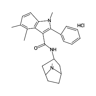 Cc1ccc2c(c1C)c(C(=O)NC1CC3CCC(C1)N3C)c(-c1ccccc1)n2C.Cl